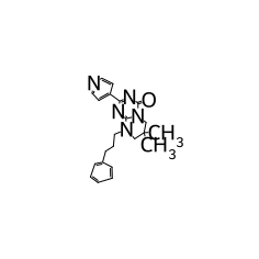 CC1(C)CN(CCCc2ccccc2)c2nc(-c3ccncc3)nc(=O)n2C1